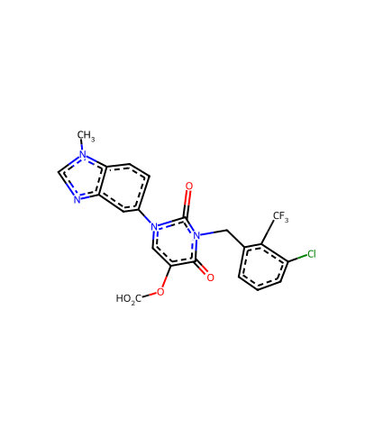 Cn1cnc2cc(-n3cc(OC(=O)O)c(=O)n(Cc4cccc(Cl)c4C(F)(F)F)c3=O)ccc21